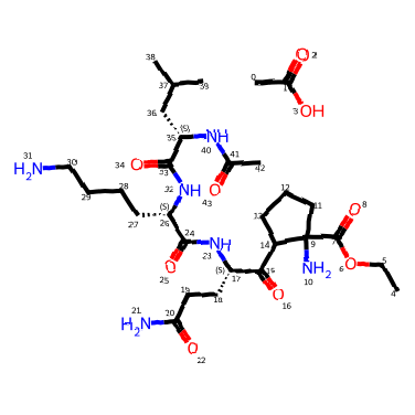 CC(=O)O.CCOC(=O)C1(N)CCCC1C(=O)[C@H](CCC(N)=O)NC(=O)[C@H](CCCCN)NC(=O)[C@H](CC(C)C)NC(C)=O